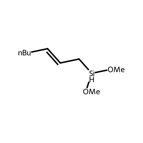 CCCCC=CC[SiH](OC)OC